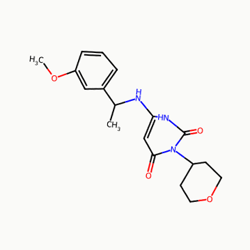 COc1cccc(C(C)Nc2cc(=O)n(C3CCOCC3)c(=O)[nH]2)c1